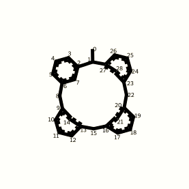 CC1c2cccc(c2)Cc2cccc(c2)Cc2cccc(c2)Cc2cccc1c2